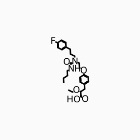 CCCCNC(=O)N(CCCc1ccc(F)cc1)CCOc1ccc(CC(OCC)C(=O)O)cc1